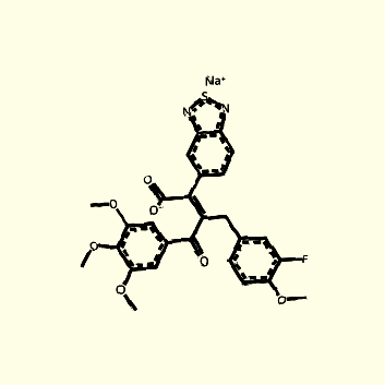 COc1ccc(CC(C(=O)c2cc(OC)c(OC)c(OC)c2)=C(C(=O)[O-])c2ccc3nsnc3c2)cc1F.[Na+]